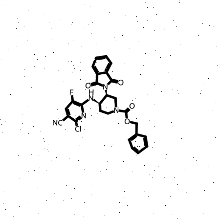 N#Cc1cc(F)c(N[C@@H]2CCN(C(=O)OCc3ccccc3)C[C@@H]2N2C(=O)c3ccccc3C2=O)nc1Cl